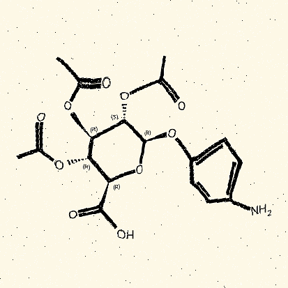 CC(=O)O[C@H]1[C@H](OC(C)=O)[C@@H](Oc2ccc(N)cc2)O[C@@H](C(=O)O)[C@@H]1OC(C)=O